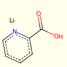 O=C(O)c1ccccn1.[Li]